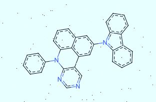 c1ccc(N2c3ncncc3-c3cc(-n4c5ccccc5c5ccccc54)cc4cccc2c34)cc1